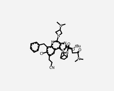 CN(C)C(=O)CCc1nc2c(N3CC(N(C)C)C3)nc3c(Cc4ccccc4)c(Cl)c(CCC#N)cc3c2n1C1C2CC1N(C(=O)OC(C)(C)C)C2